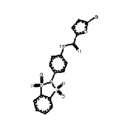 O=C(Nc1ccc(N2S(=O)(=O)c3ccccc3S2(=O)=O)cc1)c1ccc(Br)o1